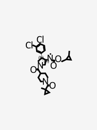 CC1CC1COC(=O)N(C)[C@H]1CN(C(=O)C2CCN(C(=O)C3(C)CC3)CC2)C[C@@H]1c1ccc(Cl)c(Cl)c1